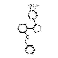 O=C(O)c1ccc(C2=C(c3ccccc3OCc3ccccc3)CCC2)cc1